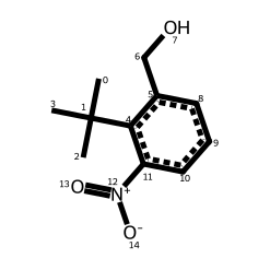 CC(C)(C)c1c(CO)cccc1[N+](=O)[O-]